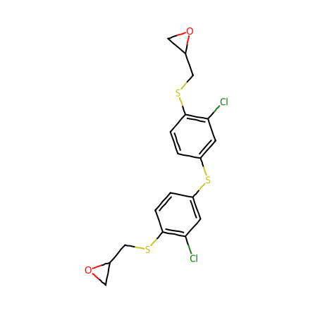 Clc1cc(Sc2ccc(SCC3CO3)c(Cl)c2)ccc1SCC1CO1